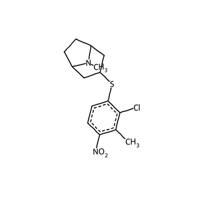 Cc1c([N+](=O)[O-])ccc(SC2CC3CCC(C2)N3C)c1Cl